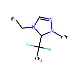 CCCN1N=CN(CC(C)C)C1C(F)(F)C(F)(F)F